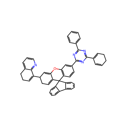 C1=CC(c2nc(-c3ccccc3)nc(-c3ccc4c(c3)OC3=CC(C5=CCCc6cccnc65)CC=C3C43c4ccccc4-c4ccccc43)n2)=CCC1